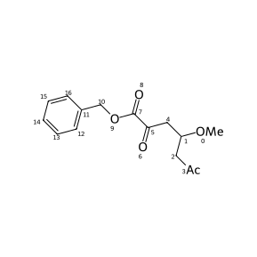 COC(CC(C)=O)CC(=O)C(=O)OCc1ccccc1